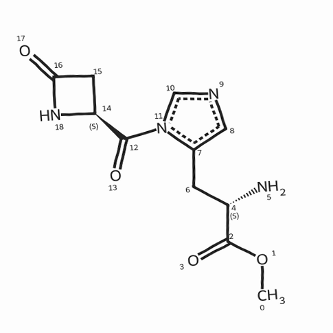 COC(=O)[C@@H](N)Cc1cncn1C(=O)[C@@H]1CC(=O)N1